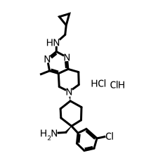 Cc1nc(NCC2CC2)nc2c1CN([C@H]1CC[C@@](CN)(c3cccc(Cl)c3)CC1)CC2.Cl.Cl